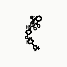 Cn1cc(-c2cnc(Oc3ccc(NC(=O)NC(=O)c4ccccc4[N+](=O)[O-])cc3)nc2)cn1